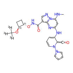 [2H]C([2H])([2H])O[C@H]1CC[C@@H]1ONC(=O)c1cnn2c(NC)cc(NC3=CC=CN(n4cccc4)C3=C=O)nc12